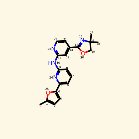 Cc1ccc(-c2cccc(Nc3cc(C4=NC(C)(C)CO4)ccn3)n2)o1